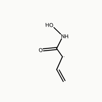 C=C[CH]C(=O)NO